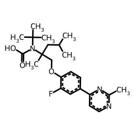 Cc1nccc(-c2ccc(OCC(C)(CC(C)C)N(C(=O)O)C(C)(C)C)c(F)c2)n1